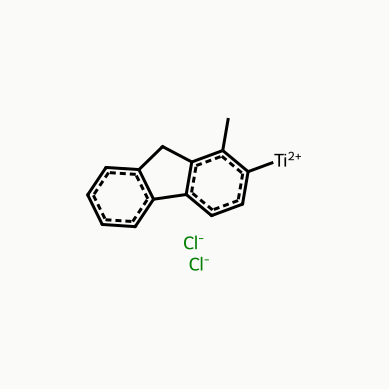 Cc1[c]([Ti+2])ccc2c1Cc1ccccc1-2.[Cl-].[Cl-]